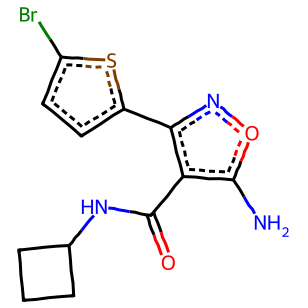 Nc1onc(-c2ccc(Br)s2)c1C(=O)NC1CCC1